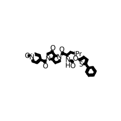 CC(C)CC(NC(=O)Oc1ccc(-c2ccccc2)s1)C(=O)N1CCC2C1C(=O)CN2C(=O)c1cc[n+]([O-])cc1